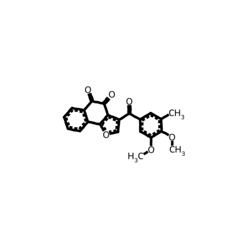 COc1cc(C(=O)c2coc3c2C(=O)C(=O)c2ccccc2-3)cc(C)c1OC